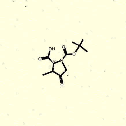 CC1C(=O)CN(C(=O)OC(C)(C)C)[C@@H]1C(=O)O